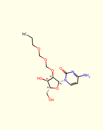 N#CCCOCOCO[C@@H]1[C@H](O)[C@@H](CO)O[C@H]1n1ccc(N)nc1=O